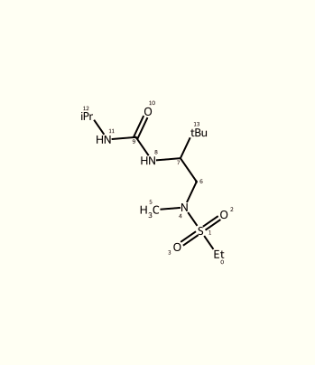 CCS(=O)(=O)N(C)CC(NC(=O)NC(C)C)C(C)(C)C